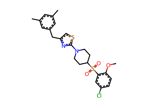 COc1ccc(Cl)cc1S(=O)(=O)C1CCN(c2nc(Cc3cc(C)cc(C)c3)cs2)CC1